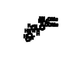 COCC1(COC)Oc2ccc(Nc3ncc(F)c(N[C@@H]4C[C@@H]5CCCN5C(C)(C)C4)n3)cc2-n2nnnc21